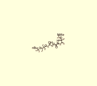 CCCCC(C)(C)OC(C)C(C)(C)OCC(O)COC(=O)NCC(C)C(C)(C)OCNC